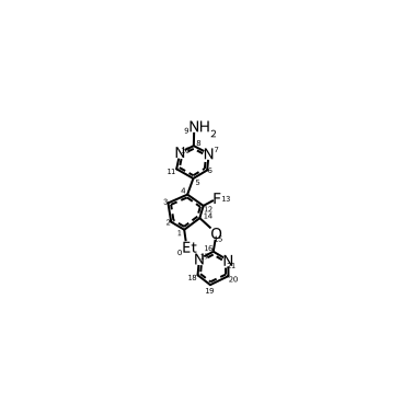 CCc1ccc(-c2cnc(N)nc2)c(F)c1Oc1ncccn1